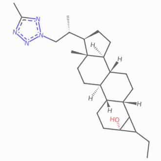 CCC1C2[C@H]3CC[C@@H]4[C@H](CC[C@]5(C)[C@@H]([C@@H](C)Cn6nnc(C)n6)CC[C@@H]45)[C@H]3CC[C@]12O